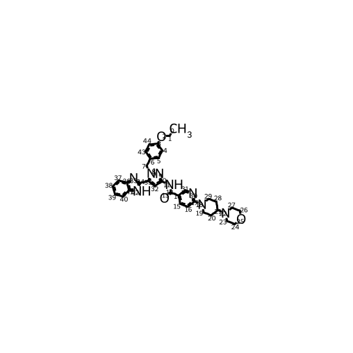 CCOc1ccc(Cn2nc(NC(=O)c3ccc(N4CCC(N5CCOCC5)CC4)nc3)cc2-c2nc3ccccc3[nH]2)cc1